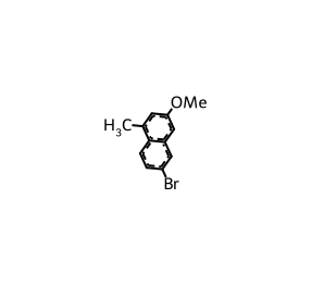 COc1cc(C)c2ccc(Br)cc2c1